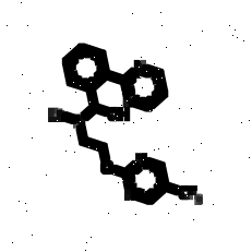 CCN(CCOc1ncc(C(F)(F)F)cn1)C(O)c1ccccc1-c1ncccn1